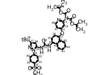 C=C(C)OC(=O)N(C(=O)OC(=C)C)c1cc(Oc2ccc(NC(=O)Nc3cc(C(C)(C)C)nn3-c3ccc(S(C)(=O)=O)cc3)c3ccccc23)ccn1